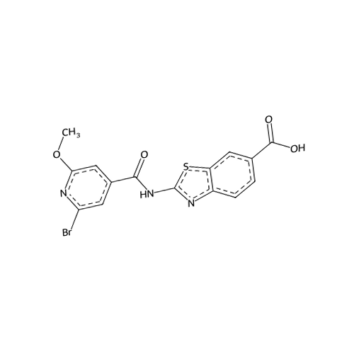 COc1cc(C(=O)Nc2nc3ccc(C(=O)O)cc3s2)cc(Br)n1